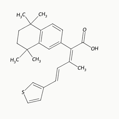 CC(C=Cc1ccsc1)=C(C(=O)O)c1ccc2c(c1)C(C)(C)CCC2(C)C